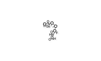 COc1cc(-c2cccc(-c3cccc(NC(=O)c4cccn(C)c4=O)c3C)c2C)cc(F)c1CN[C@@H]1CNC(=O)C1